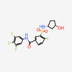 O=C(Nc1cc(F)c(F)c(F)c1)c1ccc(F)c(S(=O)(=O)N[C@@H]2CC[C@@H](O)C2)c1